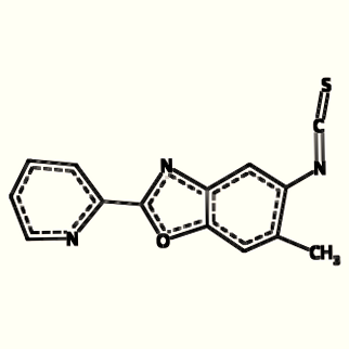 Cc1cc2oc(-c3ccccn3)nc2cc1N=C=S